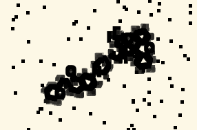 O=C1c2cc(N3CCN(CCCCC4(C(=O)NCC(F)(F)F)c5ccccc5Oc5ccccc54)CC3)ccc2CCN1CC1CCCCO1